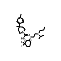 CCCN(CCO[C@H]1CCCC(F)(F)[C@@H]1NC(=O)N1CCC(C)(c2ccc(C)cc2)CC1)C(C)C